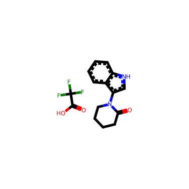 O=C(O)C(F)(F)F.O=C1CCCCN1c1c[nH]c2ccccc12